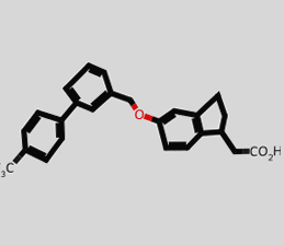 O=C(O)CC1CCc2cc(OCc3cccc(-c4ccc(C(F)(F)F)cc4)c3)ccc21